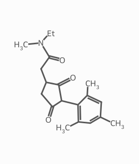 CCN(C)C(=O)CC1CC(=O)C(c2c(C)cc(C)cc2C)C1=O